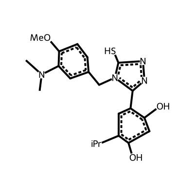 COc1ccc(Cn2c(S)nnc2-c2cc(C(C)C)c(O)cc2O)cc1N(C)C